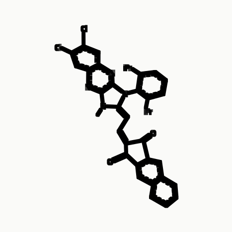 CC(C)c1cccc(C(C)C)c1N1/C(=C/C=C2C(=O)c3cc4ccccc4cc3C2=O)N(C)c2nc3cc(Cl)c(Cl)cc3nc21